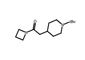 CC(C)(C)N1CCC(CC(=O)N2CCC2)CC1